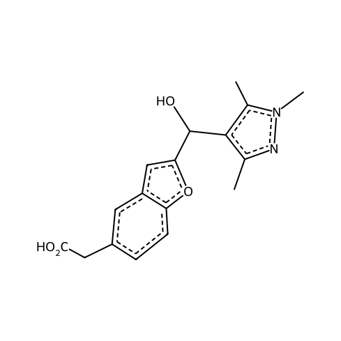 Cc1nn(C)c(C)c1C(O)c1cc2cc(CC(=O)O)ccc2o1